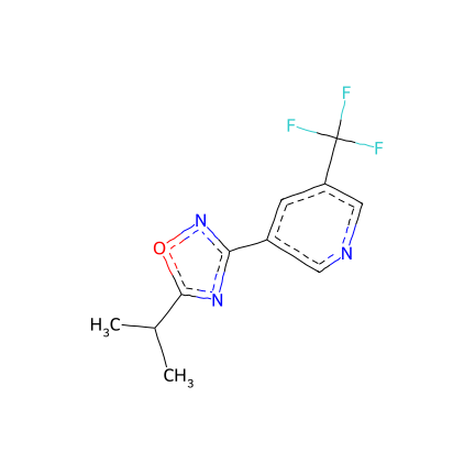 CC(C)c1nc(-c2cncc(C(F)(F)F)c2)no1